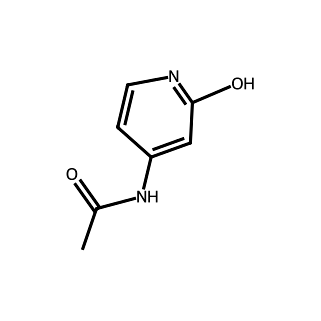 CC(=O)Nc1ccnc(O)c1